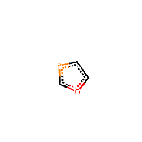 c1cpco1